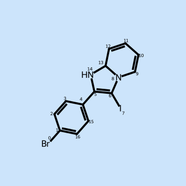 Brc1ccc(C2=C(I)N3C=CC=CC3N2)cc1